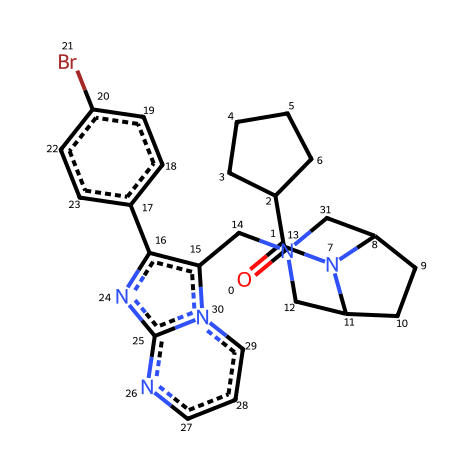 O=C(C1CCCC1)N1C2CCC1CN(Cc1c(-c3ccc(Br)cc3)nc3ncccn13)C2